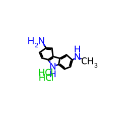 CNc1ccc2[nH]c3ccc(N)cc3c2c1.Cl.Cl